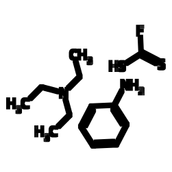 CCN(CC)CC.FC(=S)S.Nc1ccccc1